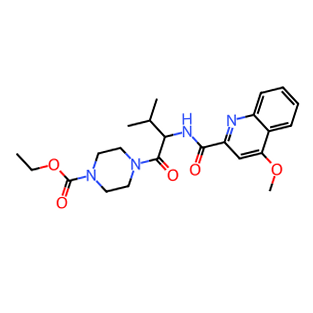 CCOC(=O)N1CCN(C(=O)C(NC(=O)c2cc(OC)c3ccccc3n2)C(C)C)CC1